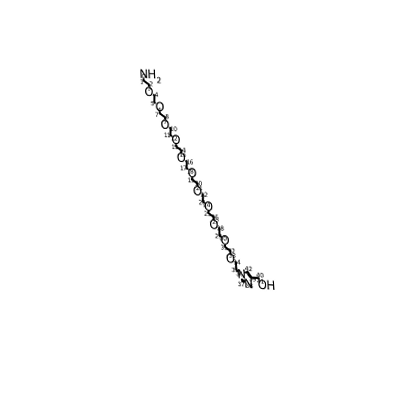 NCCOCCOCCOCCOCCOCCOCCOCCOCCOCCOCCOCCn1cnc(CO)c1